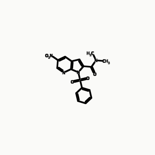 CN(C)C(=O)c1cc2cc([N+](=O)[O-])cnc2n1S(=O)(=O)c1ccccc1